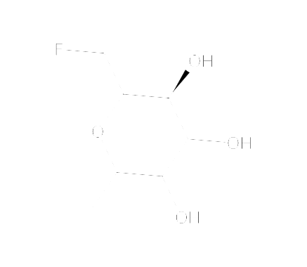 CC1OC(CF)[C@@H](O)C(O)C1O